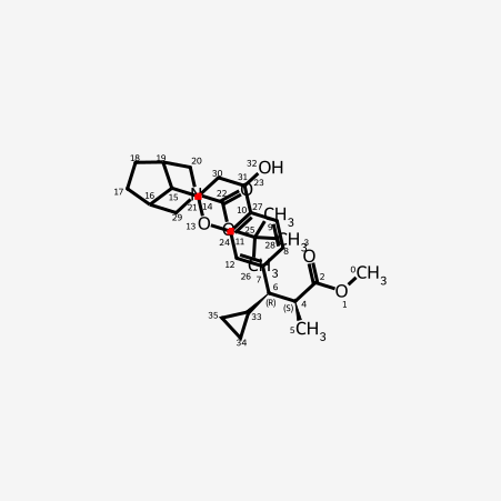 COC(=O)[C@@H](C)[C@H](c1ccc2c(c1)OC(C1C3CCC1CN(C(=O)OC(C)(C)C)C3)CC2O)C1CC1